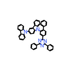 c1ccc(-c2nc(-c3ccccc3)nc(-c3ccc(-c4ccccc4)c(-n4c5ccccc5c5cc(-n6c7ccccc7c7ccccc76)ccc54)c3)n2)cc1